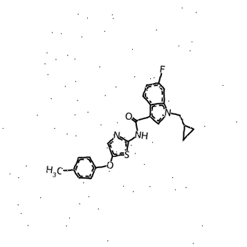 Cc1ccc(Oc2cnc(NC(=O)c3cn(CC4CC4)c4cc(F)ccc34)s2)cc1